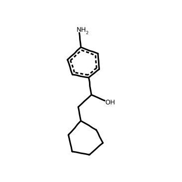 Nc1ccc(C(O)CC2CCCCC2)cc1